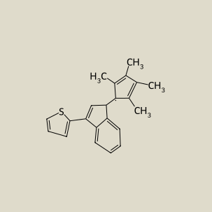 CC1=C(C)C(C)=C(C)[C]1C1C=C(c2cccs2)c2ccccc21